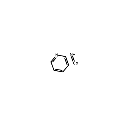 [NH]=[Co].c1ccncc1